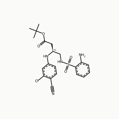 CC(C)(C)OC(=O)C[C@@H](CNS(=O)(=O)c1ccccc1N)Nc1ccc(C#N)c(Cl)c1